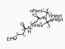 CCCCCCCC(C)(CCCCC)N(C(=O)CCNC(=O)CCOCC)C(C)(CCCCCC)CCCCCCC